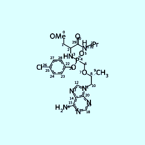 COCC(NP(=O)(CO[C@H](C)Cn1cnc2c(N)ncnc21)Oc1ccc(Cl)cc1)C(=O)NC(C)C